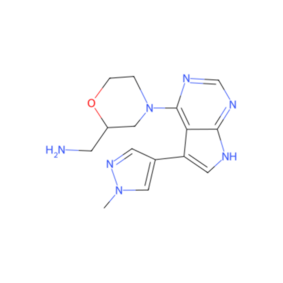 Cn1cc(-c2c[nH]c3ncnc(N4CCOC(CN)C4)c23)cn1